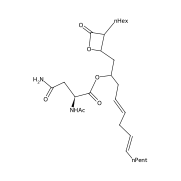 CCCCCC=CCC=CCC(CC1OC(=O)C1CCCCCC)OC(=O)[C@H](CC(N)=O)NC(C)=O